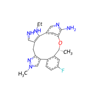 CCN/C1=C(\C=N)Cc2nn(C)cc2-c2ccc(F)cc2[C@@H](C)Oc2cc1cnc2N